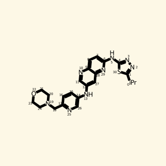 CC(C)c1nnc(Nc2ccc3ncc(Nc4ccc(CN5CCOCC5)nc4)cc3n2)s1